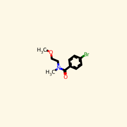 COCCN(C)C(=O)c1ccc(Br)cc1